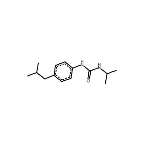 CC(C)Cc1ccc(NC(=O)NC(C)C)cc1